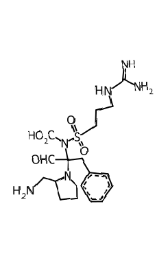 N=C(N)NCCCS(=O)(=O)N(C(=O)O)C(C=O)(Cc1ccccc1)N1CCCC1CN